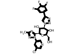 Cc1nc([C@@H]2O[C@H](CO)[C@H](O)[C@H](n3cc(-c4cc(F)c(F)c(F)c4)nn3)[C@H]2O)n(-c2cncc(Cl)c2)n1